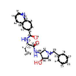 CC(C)C[C@H](NC(=O)c1ccc2ncccc2c1)C(=O)NC1CN(Cc2ccccc2)CC1O